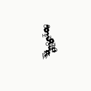 O=C(NCC(c1cnc(C(F)(F)F)nc1)N1CCOCC1)c1c(Cl)ccc2nc(NCc3ccc4c(c3)OCO4)ccc12